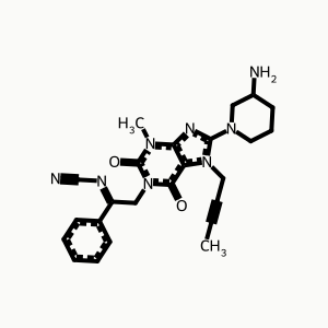 CC#CCn1c(N2CCCC(N)C2)nc2c1c(=O)n(CC(=NC#N)c1ccccc1)c(=O)n2C